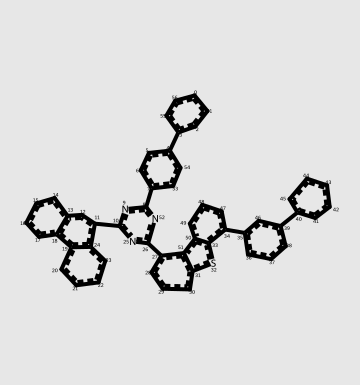 c1ccc(-c2ccc(-c3nc(-c4cc5ccccc5c5ccccc45)nc(-c4cccc5sc6c(-c7cccc(-c8ccccc8)c7)cccc6c45)n3)cc2)cc1